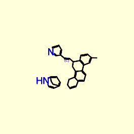 C1=CC2=CC=C(CC2)N1.Cc1ccc2c(c1)-c1ccc3c(c1CC2/C=C/c1cccnc1)CCC=C3